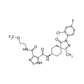 CC1=NN(c2ccc(F)cc2Cl)C(=O)[C@]12CC[C@H](NC(=O)c1[nH]cnc1C(=O)NCCOC(F)(F)F)CC2